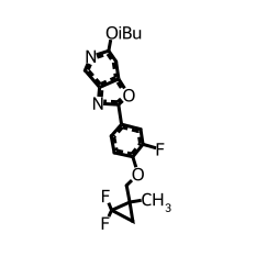 CC(C)COc1cc2oc(-c3ccc(OCC4(C)CC4(F)F)c(F)c3)nc2cn1